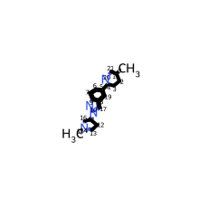 CC1CCC(c2ccc3nn(C4CCN(C)C4)cc3c2)=NC1